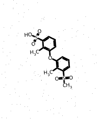 Cc1c(Oc2cccc(S(=O)(=O)O)c2C)cccc1S(C)(=O)=O